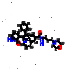 O=C(NCCCN1CCOCC1)c1cc2c3c(c1)c(-c1ccccc1)c(-c1ccc[nH]c1=O)n3CCC2